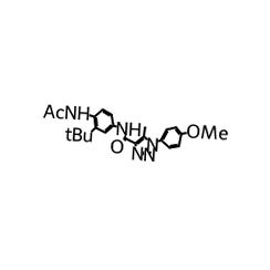 COc1ccc(-n2nnc(C(=O)Nc3ccc(NC(C)=O)c(C(C)(C)C)c3)c2C)cc1